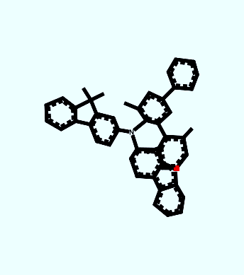 Cc1cccc(C)c1-c1cc(-c2ccccc2)cc(C)c1N(c1ccc2c(c1)C(C)(C)c1ccccc1-2)c1ccc2c(c1)oc1ccccc12